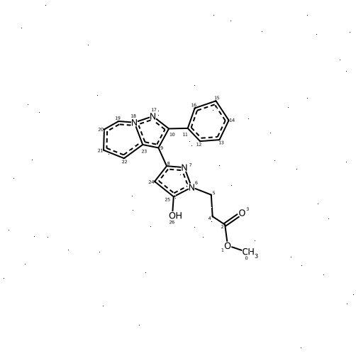 COC(=O)CCn1nc(-c2c(-c3ccccc3)nn3ccccc23)cc1O